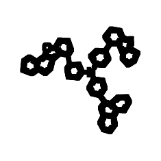 c1cc(-c2cccc3oc4c5ccccc5ccc4c23)cc(N(c2ccc(-c3cc4ccccc4c4ccccc34)cc2)c2ccc(-c3cccc4sc5ccccc5c34)cc2)c1